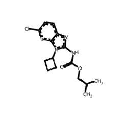 CC(C)COC(=O)Nc1nc2ccc(Cl)nc2n1C1CCC1